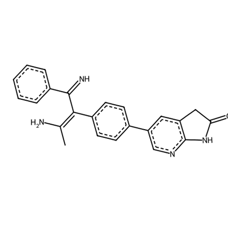 C/C(N)=C(/C(=N)c1ccccc1)c1ccc(-c2cnc3c(c2)CC(=O)N3)cc1